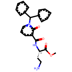 COC(=O)[C@H](CCN)NC(=O)c1cccn(C(c2ccccc2)c2ccccc2)c1=O